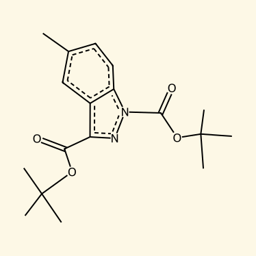 Cc1ccc2c(c1)c(C(=O)OC(C)(C)C)nn2C(=O)OC(C)(C)C